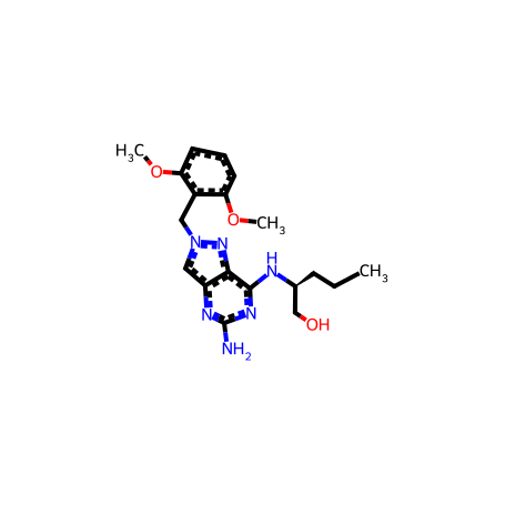 CCC[C@@H](CO)Nc1nc(N)nc2cn(Cc3c(OC)cccc3OC)nc12